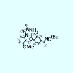 COc1cccc(NC(=O)N(C)N)c1COc1ccc(/C(C)=N/OC(C)(C)C)cc1C